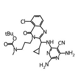 CN(CCCn1c(C(Nc2nc(N)nc(N)c2C#N)C2CC2)nc2cccc(Cl)c2c1=O)C(=O)OC(C)(C)C